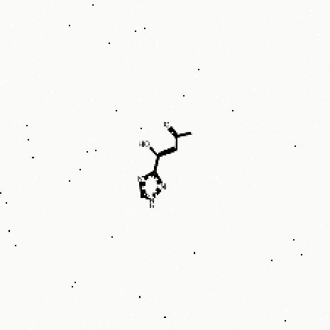 CC(=O)/C=C(\O)c1nc[nH]n1